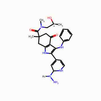 CC(=O)N(N)C1C=C(c2[nH]c3c(c2Nc2ccccc2)C(=O)CC(C)(C(=O)N(C)C[C@H](C)O)C3)C=CN1